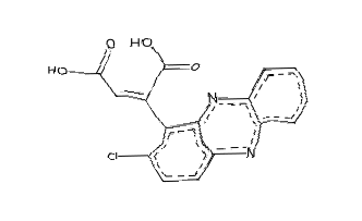 O=C(O)/C=C(\C(=O)O)c1c(Cl)ccc2nc3ccccc3nc12